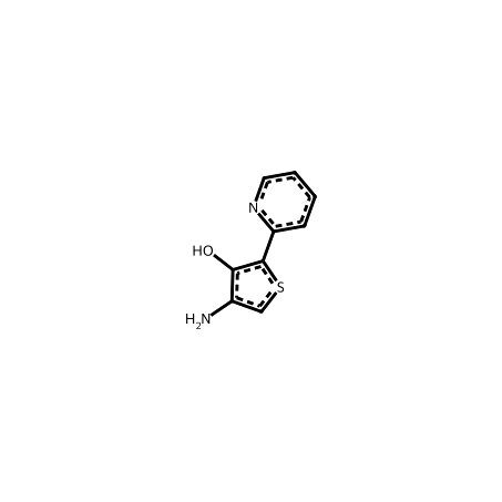 Nc1csc(-c2ccccn2)c1O